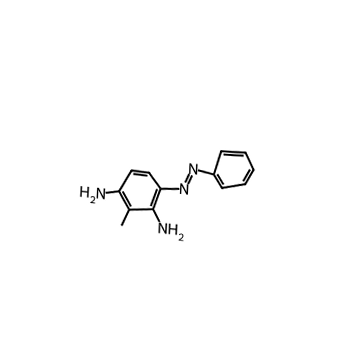 Cc1c(N)ccc(N=Nc2ccccc2)c1N